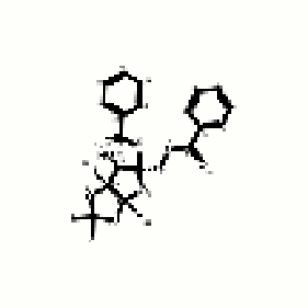 CC1(C)O[C@H]2O[C@](COC(=O)c3ccccc3)(OC(=O)c3ccccc3)[C@H](O)[C@H]2O1